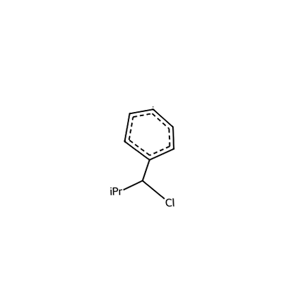 CC(C)C(Cl)c1cc[c]cc1